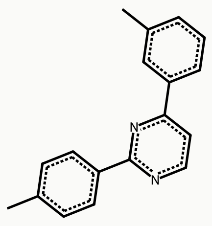 Cc1ccc(-c2nccc(-c3cccc(C)c3)n2)cc1